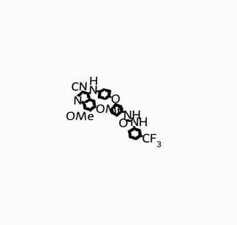 COc1cc2ncc(C#N)c(Nc3ccc(Oc4cccc(NC(=O)Nc5cccc(C(F)(F)F)c5)c4)cc3)c2cc1OC